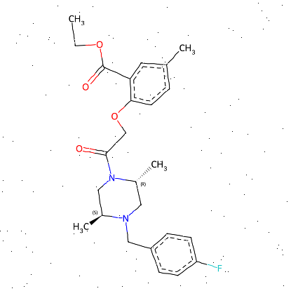 CCOC(=O)c1cc(C)ccc1OCC(=O)N1C[C@H](C)N(Cc2ccc(F)cc2)C[C@H]1C